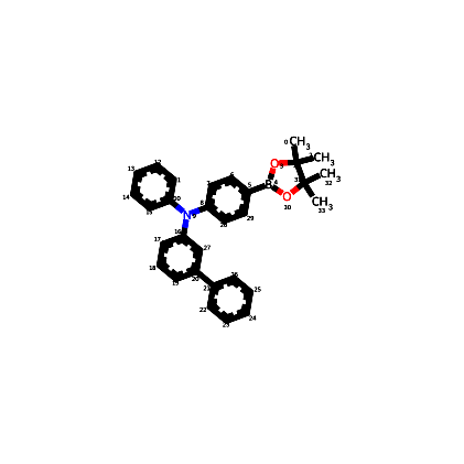 CC1(C)OB(c2ccc(N(c3ccccc3)c3cccc(-c4ccccc4)c3)cc2)OC1(C)C